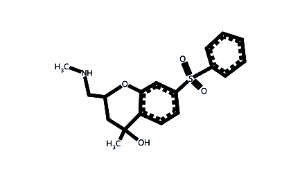 CNCC1CC(C)(O)c2ccc(S(=O)(=O)c3ccccc3)cc2O1